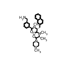 C[C@H](C(=O)N1CCN(C)CC1)N(C)C(=O)[C@@H](Cc1ccc2ccccc2c1)N(C)C(=O)c1cccc(CN)c1